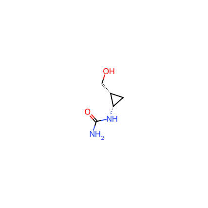 NC(=O)N[C@H]1C[C@H]1CO